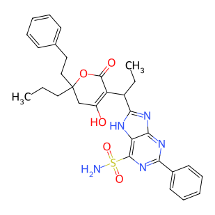 CCCC1(CCc2ccccc2)CC(O)=C(C(CC)c2nc3nc(-c4ccccc4)nc(S(N)(=O)=O)c3[nH]2)C(=O)O1